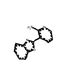 Nc1ncccc1-c1nc2ccccc2s1